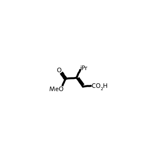 COC(=O)C(=CC(=O)O)C(C)C